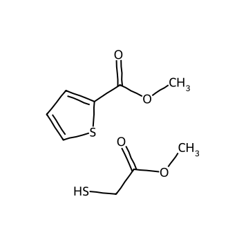 COC(=O)CS.COC(=O)c1cccs1